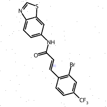 O=C(/C=C/c1ccc(C(F)(F)F)cc1Br)Nc1ccc2ncsc2c1